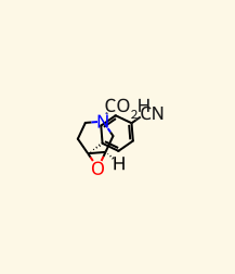 N#Cc1ccc([C@]23CCN(C(=O)O)C[C@H]2O3)cc1